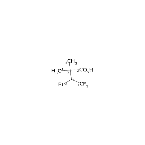 CCC(C(F)(F)F)C(C)(C)C(=O)O